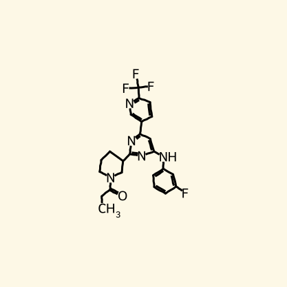 CCC(=O)N1CCCC(c2nc(Nc3cccc(F)c3)cc(-c3ccc(C(F)(F)F)nc3)n2)C1